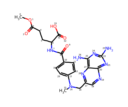 COC(=O)CCC(NC(=O)c1ccc(N(C)Cc2cnc3nc(N)nc(N)c3n2)cc1)C(=O)O